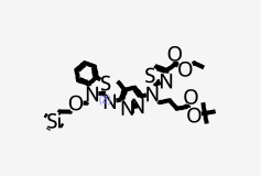 CCOC(=O)c1csc(N(CCCC(=O)OC(C)(C)C)c2cc(C)c(/N=c3\sc4ccccc4n3COCC[Si](C)(C)C)nn2)n1